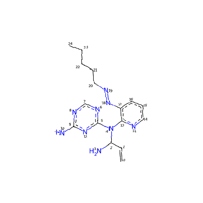 C=CC(N)N(c1ncnc([NH])n1)c1ncccc1N=NCCCCC